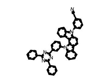 N#Cc1cccc(-n2c3ccccc3c3c2ccc2c4ccccc4n(-c4cccc(-c5nc(-c6ccccc6)nc(-c6ccccc6)n5)c4)c23)c1